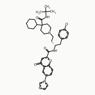 CC(C)(C)NC(=O)C1(C2CCCCC2)CCN(CC[C@H](Cc2ccc(Cl)cc2)NC(=O)c2cc(=O)c3cc(-n4ccnc4)ccc3o2)CC1